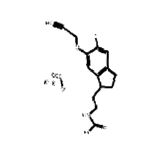 C#CCOc1cc2c(cc1F)CCC2CCNC(=O)CC.O=C([O-])[O-].[K+].[K+]